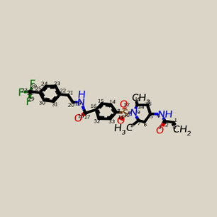 C=CC(=O)NC1CC(C)N(S(=O)(=O)c2ccc(C(=O)NCCc3ccc(C(F)(F)F)cc3)cc2)C(C)C1